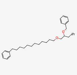 CC(C)CC(COCCCCCCCCCCCCc1ccccc1)OCc1ccccc1